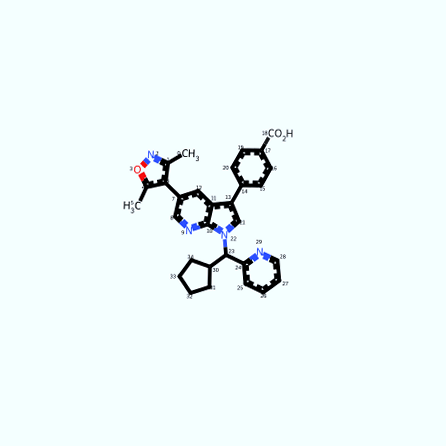 Cc1noc(C)c1-c1cnc2c(c1)c(-c1ccc(C(=O)O)cc1)cn2C(c1ccccn1)C1CCCC1